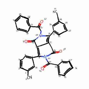 N#Cc1cccc(C2=C3C(=O)N(C(=O)c4ccccc4)C(c4cccc(C#N)c4)=C3C(=O)N2C(=O)c2ccccc2)c1